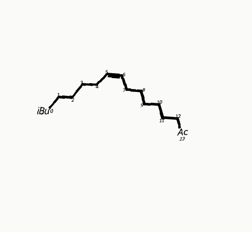 CCC(C)CCCC/C=C\CCCCCCC(C)=O